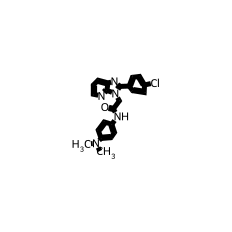 CN(C)c1ccc(NC(=O)Cn2c(-c3ccc(Cl)cc3)nc3cccnc32)cc1